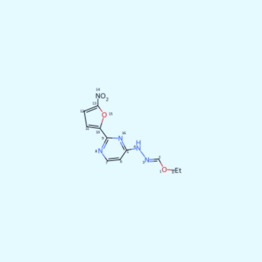 CCOC=NNc1ccnc(-c2ccc([N+](=O)[O-])o2)n1